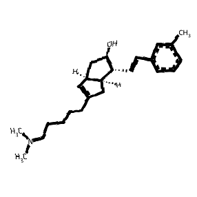 Cc1cccc(/C=C/[C@@H]2[C@H]3CC(CCCCCN(C)C)=C[C@H]3C[C@H]2O)c1